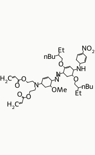 C=CC(=O)OCCN(CCOC(=O)C=C)C1C=CC(/N=N/C2CC(OCC(CC)CCCC)C(NC3C=CC([N+](=O)[O-])=CC3)C=C2OCC(CC)CCCC)C(OC)C1